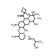 CC(CO)CNC[C@@H]1CCC(N)[C@@H](OC2C(O)C(O[C@H]3OCC(C)(O)[C@H](C)C3O)[C@H](NC(=N)C3(O)COC3)C[C@@H]2N)O1